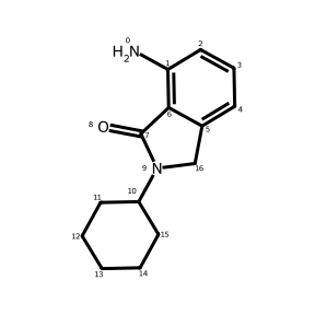 Nc1cccc2c1C(=O)N(C1CCCCC1)C2